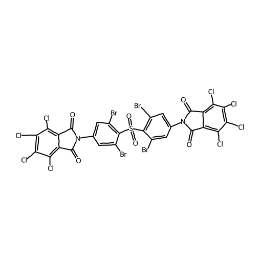 O=C1c2c(Cl)c(Cl)c(Cl)c(Cl)c2C(=O)N1c1cc(Br)c(S(=O)(=O)c2c(Br)cc(N3C(=O)c4c(Cl)c(Cl)c(Cl)c(Cl)c4C3=O)cc2Br)c(Br)c1